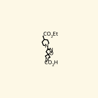 CCOC(=O)CC1CCN(C2=NOC3(C2)CN(C(=O)O)C3)CC1